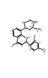 C[C@H]1CN(c2cccc3c2OC(c2ccc(Cl)cc2F)C=C3F)CCN1